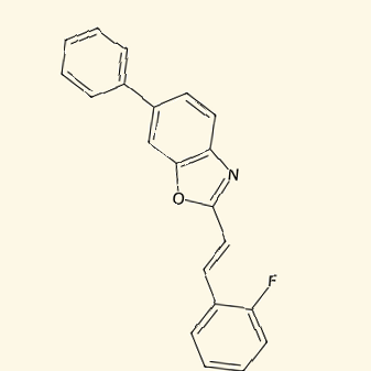 Fc1ccccc1C=Cc1nc2ccc(-c3ccccc3)cc2o1